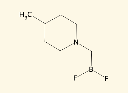 CC1CCN(CB(F)F)CC1